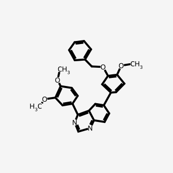 COc1ccc(-c2ncnc3ccc(-c4ccc(OC)c(OCc5ccccc5)c4)cc23)cc1OC